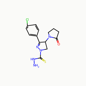 NNC(=S)N1CC(N2CCCC2=O)C(c2ccc(Cl)cc2)=N1